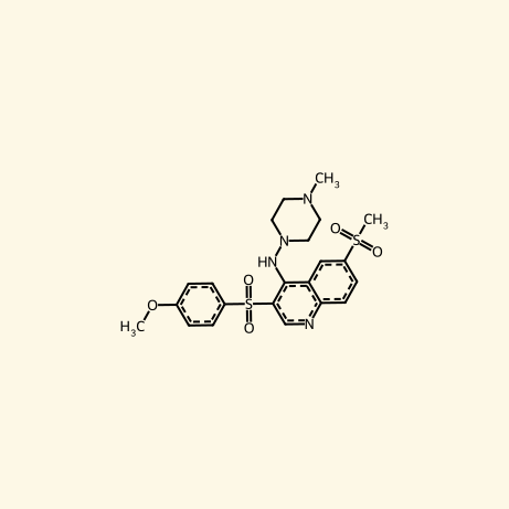 COc1ccc(S(=O)(=O)c2cnc3ccc(S(C)(=O)=O)cc3c2NN2CCN(C)CC2)cc1